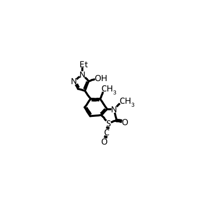 CCn1ncc(-c2ccc3c(c2C)N(C)C(=O)S3=C=O)c1O